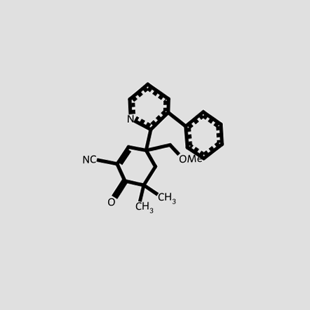 COCC1(c2ncccc2-c2ccccc2)C=C(C#N)C(=O)C(C)(C)C1